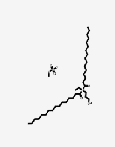 CCCCCCCCCCCCCCCC(=O)[N+](CC)(CCCO)C(=O)CCCCCCCCCCCCCCC.COS(=O)(=O)[O-]